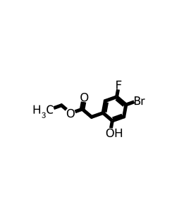 CCOC(=O)Cc1cc(F)c(Br)cc1O